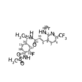 CC(C)Nc1nc(C(F)(F)F)ccc1C=CC(=O)N[C@H](C)c1ccc(NS(C)(=O)=O)c(F)c1